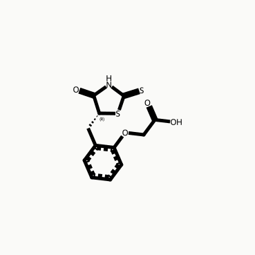 O=C(O)COc1ccccc1C[C@H]1SC(=S)NC1=O